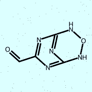 O=Cc1nc2nc(n1)NON2